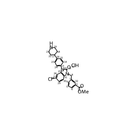 COC(=O)c1cccc(Cn2c(=O)n(-c3ccc(C4CCNCC4)cc3)c3cc(Cl)ccc32)c1.Cl